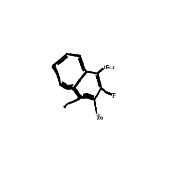 Cc1c(C(C)(C)C)c(F)c(C(C)(C)C)c2ccccc12